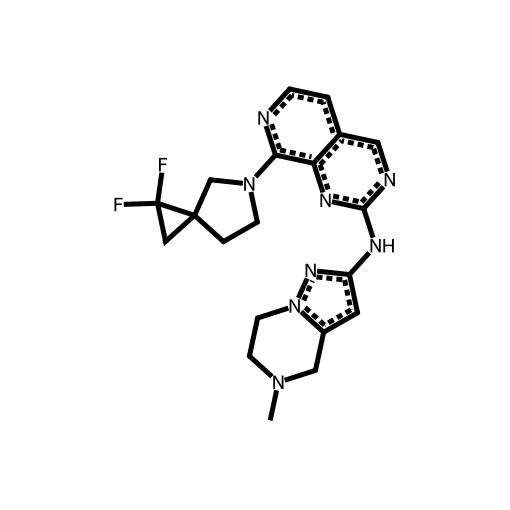 CN1CCn2nc(Nc3ncc4ccnc(N5CCC6(C5)CC6(F)F)c4n3)cc2C1